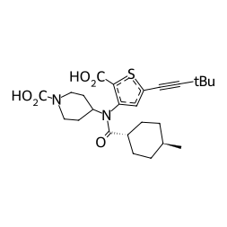 CC(C)(C)C#Cc1cc(N(C(=O)[C@H]2CC[C@H](C)CC2)C2CCN(C(=O)O)CC2)c(C(=O)O)s1